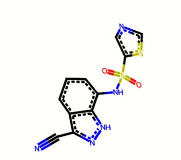 N#Cc1n[nH]c2c(NS(=O)(=O)c3cncs3)cccc12